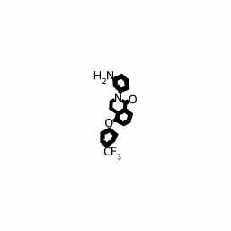 Nc1cccc(N2CCc3c(Oc4ccc(C(F)(F)F)cc4)cccc3C2=O)c1